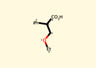 CCOCC(C(=O)O)C(C)C